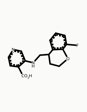 O=C(O)c1ccncc1NCC1CCOc2c(F)cccc21